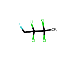 FCC(Cl)(Cl)C(Cl)(Cl)C(F)(F)F